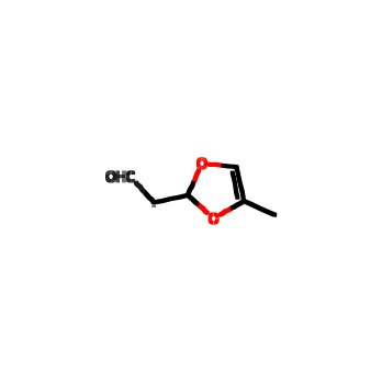 CC1=COC([CH]C=O)O1